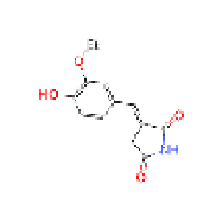 CCOc1cc(/C=C2\CC(=O)NC2=O)ccc1O